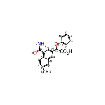 CCCCc1ccc2c(C(N)=O)cc(C(Oc3ccccc3)C(=O)O)cc2c1